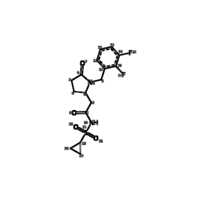 O=C(CC1CCC(=O)N1Cc1cccc(F)c1F)NS(=O)(=O)C1CC1